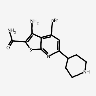 CCCc1cc(C2CCNCC2)nc2sc(C(N)=O)c(N)c12